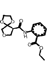 CCOC(=O)c1ccccc1NC(=O)C1COCC12OCCO2